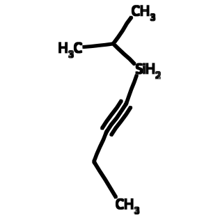 CCC#C[SiH2]C(C)C